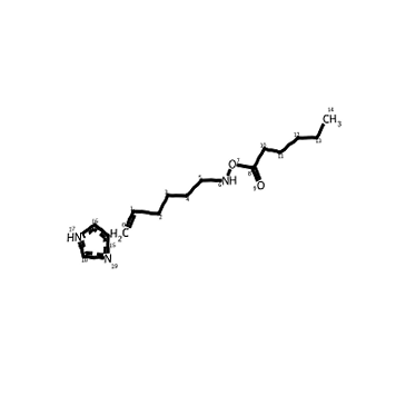 C=CCCCCNOC(=O)CCCCC.c1c[nH]cn1